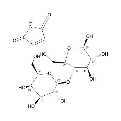 O=C1C=CC(=O)N1.OC[C@H]1O[C@@H](O[C@H]2[C@H](O)[C@@H](O)[C@H](O)O[C@@H]2CO)[C@H](O)[C@@H](O)[C@H]1O